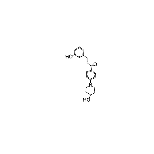 O=C(/C=C/c1cccc(O)c1)c1ccc(N2CCC(O)CC2)cc1